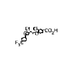 CCc1oc(-c2ccc(C(F)(F)F)cc2)cc1CCCOc1ccc(CC(=O)O)cc1Cl